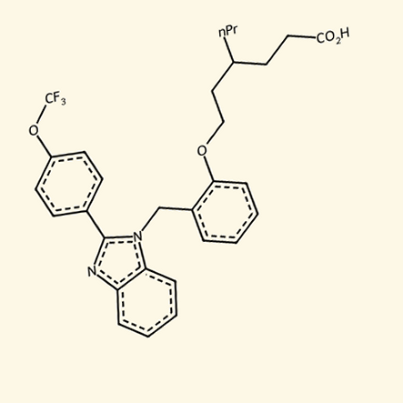 CCCC(CCOc1ccccc1Cn1c(-c2ccc(OC(F)(F)F)cc2)nc2ccccc21)CCC(=O)O